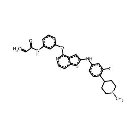 C=CC(=O)Nc1cccc(Oc2nccc3sc(Nc4ccc(C5CCN(C)CC5)c(Cl)c4)cc23)c1